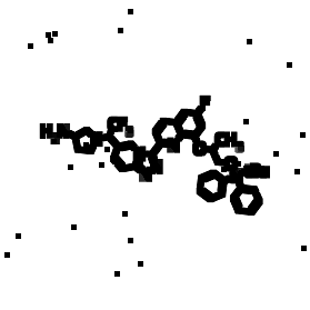 CC(CO[Si](c1ccccc1)(c1ccccc1)C(C)(C)C)Oc1cc(F)cc2ccc(-c3nnc4ccc([C@@H](N5CCC(N)C5)C(F)(F)F)cn34)nc12